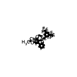 CC(C)Oc1cc(-c2ccccc2)c2c(n1)OCCN(Cc1cc(C(F)(F)F)cc(C(F)(F)F)c1)C2=O